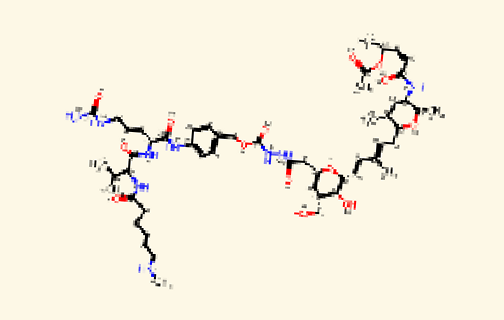 CNCCCCCC(=O)NC(C(=O)N[C@@H](CCCNC(N)=O)C(=O)Nc1ccc(COC(=O)NNC(=O)C[C@@H]2C[C@@H](CO)[C@H](O)[C@@H](/C=C/C(C)=C/C[C@@H]3O[C@H](C)[C@H](NC(=O)/C=C\[C@H](C)OC(C)=O)C[C@@H]3C)O2)cc1)C(C)C